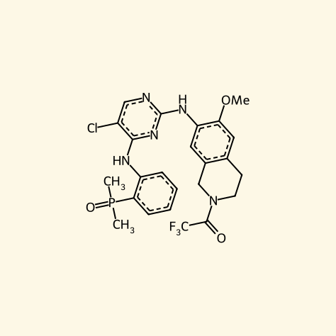 COc1cc2c(cc1Nc1ncc(Cl)c(Nc3ccccc3P(C)(C)=O)n1)CN(C(=O)C(F)(F)F)CC2